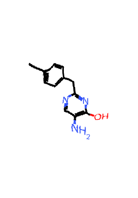 Cc1ccc(Cc2ncc(N)c(O)n2)cc1